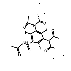 CC(=O)NC(=O)c1c(I)c(N(C(C)=O)C(C)=O)c(I)c(N(C(C)=O)C(C)=O)c1I